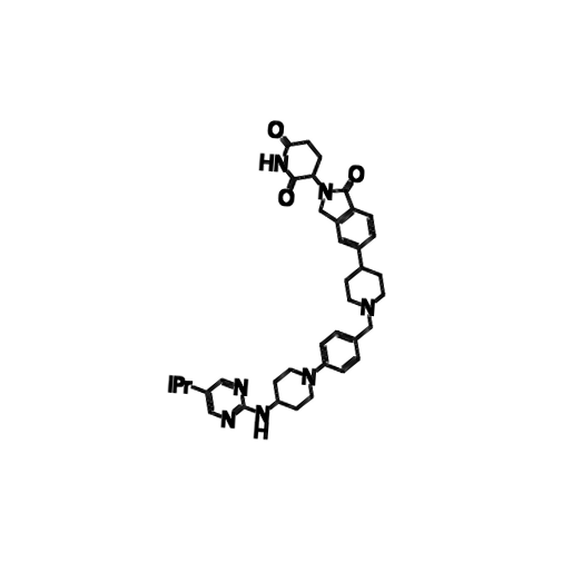 CC(C)c1cnc(NC2CCN(c3ccc(CN4CCC(c5ccc6c(c5)CN(C5CCC(=O)NC5=O)C6=O)CC4)cc3)CC2)nc1